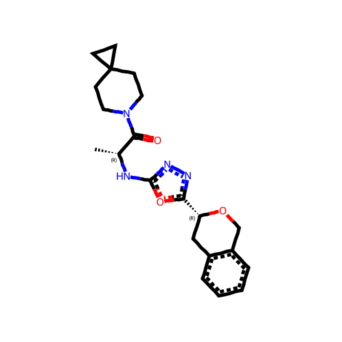 C[C@@H](Nc1nnc([C@H]2Cc3ccccc3CO2)o1)C(=O)N1CCC2(CC1)CC2